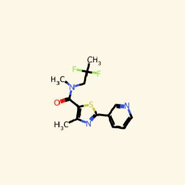 Cc1nc(-c2cccnc2)sc1C(=O)N(C)CC(C)(F)F